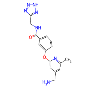 NCc1cc(Oc2cccc(C(=O)NCc3nn[nH]n3)c2)nc(C(F)(F)F)c1